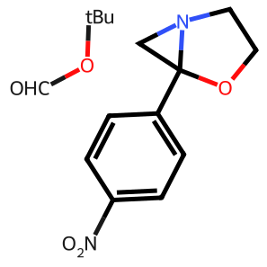 CC(C)(C)OC=O.O=[N+]([O-])c1ccc(C23CN2CCO3)cc1